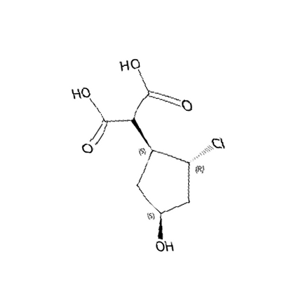 O=C(O)C(C(=O)O)[C@@H]1C[C@H](O)C[C@H]1Cl